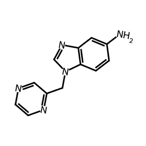 Nc1ccc2c(c1)ncn2Cc1cnccn1